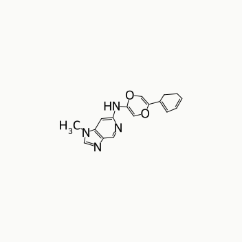 Cn1cnc2cnc(NC3=COC(C4=CC=CCC4)=CO3)cc21